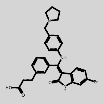 O=C(O)CCc1cccc(C(Nc2ccc(CN3CCCC3)cc2)=C2C(=O)Nc3cc(Br)ccc32)c1